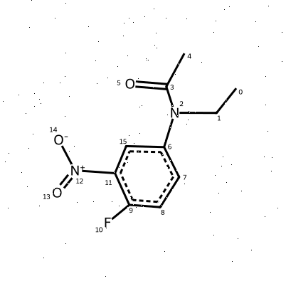 CCN(C(C)=O)c1ccc(F)c([N+](=O)[O-])c1